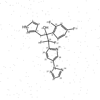 OC(Cc1cc[nH]n1)(c1ccc(F)cc1F)C(F)(F)c1ccc(-n2nccn2)cn1